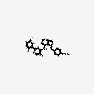 COc1ccc(Cn2ncc3nccc(Nc4cc(-c5cc(F)ccc5F)ncc4C)c32)cc1